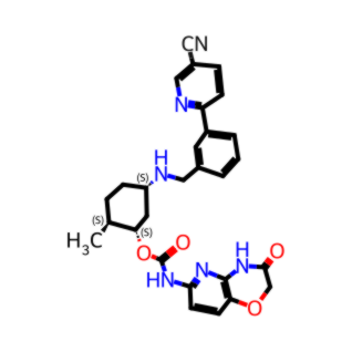 C[C@H]1CC[C@H](NCc2cccc(-c3ccc(C#N)cn3)c2)C[C@@H]1OC(=O)Nc1ccc2c(n1)NC(=O)CO2